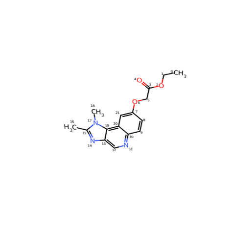 CCOC(=O)COc1ccc2ncc3nc(C)n(C)c3c2c1